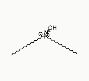 CCCCCCCCCCCCCCCCCC(=O)C(C)(C[N+](C)(C)CCO)C(=O)CCCCCCCCCCCCCCCCC